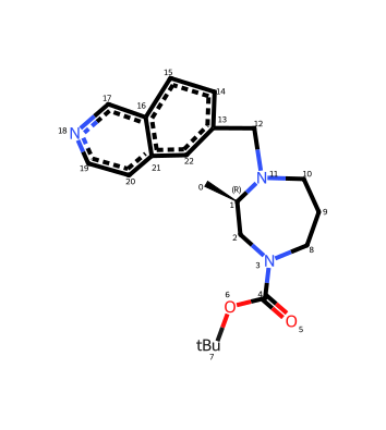 C[C@@H]1CN(C(=O)OC(C)(C)C)CCCN1Cc1ccc2cnccc2c1